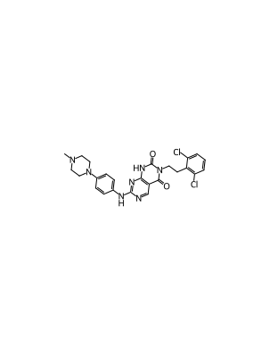 CN1CCN(c2ccc(Nc3ncc4c(=O)n(CCc5c(Cl)cccc5Cl)c(=O)[nH]c4n3)cc2)CC1